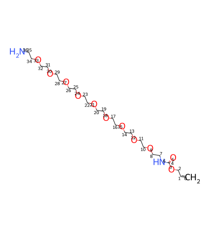 C=CCOC(=O)NCCOCCOCCOCCOCCOCCOCCOCCOCCOCCN